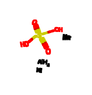 O=S(=O)(O)O.[AlH3].[Mn].[Ni]